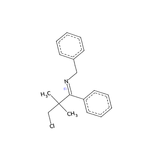 CC(C)(CCl)/C(=N/Cc1ccccc1)c1ccccc1